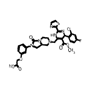 COC(=O)C1=C(CN2CCN3C(=O)N(c4cccc(OCC(=O)O)c4)CC3C2)NC(c2nccs2)=NC1c1ccc(F)cc1Cl